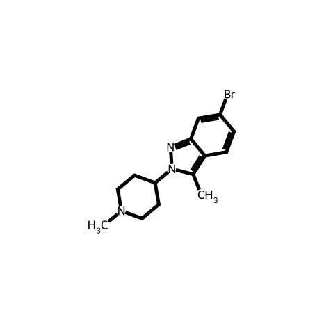 Cc1c2ccc(Br)cc2nn1C1CCN(C)CC1